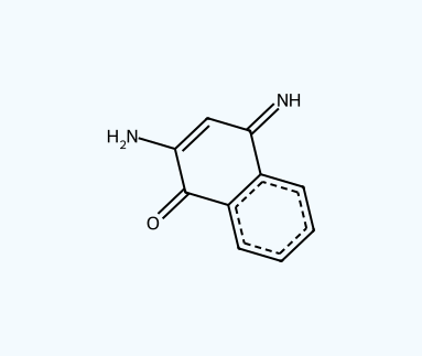 N=C1C=C(N)C(=O)c2ccccc21